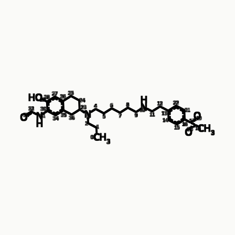 CCCN(CCCCCCNCCc1ccc(S(C)(=O)=O)cc1)[C@@H]1CCc2cc(O)c(NC=O)cc2C1